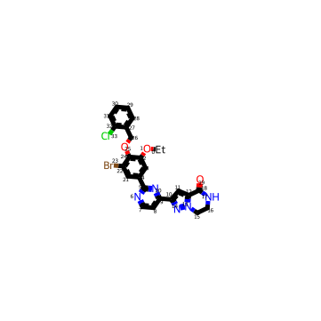 CCOc1cc(-c2nccc(-c3cc4n(n3)CCNC4=O)n2)cc(Br)c1OCc1ccccc1Cl